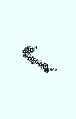 COC(=O)NC(C(=O)N1CCC[C@H]1c1ncc(-c2ccc3c(c2)COc2c-3ccc3cc(-c4cnc([C@@H]5CCCN5C(=O)C(NC(=O)O)c5ccccc5)[nH]4)ccc23)[nH]1)C(C)C